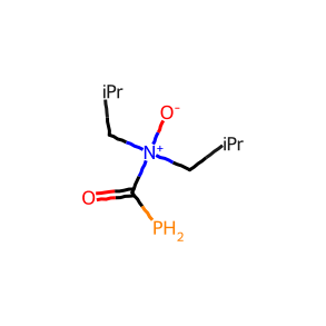 CC(C)C[N+]([O-])(CC(C)C)C(=O)P